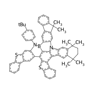 CC(C)(C)c1ccc(N2B3c4cc5c(cc4-n4c6cc7c(cc6c6c8c(sc9ccccc98)c(c3c64)-c3cc4c(cc32)sc2ccccc24)C(C)(C)CCC7(C)C)C(C)(C)c2ccccc2-5)cc1